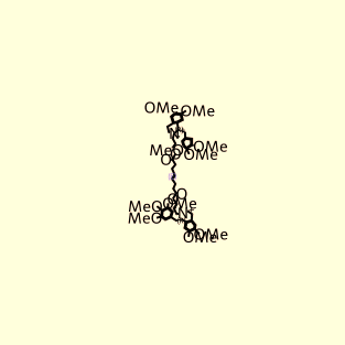 COc1cc2c(cc1OC)[C@@H](Cc1cc(OC)c(OC)c(OC)c1)[N+](C)(CCCOC(=O)CC/C=C/CCC(=O)OCCC[N+]1(C)CCc3cc(OC)c(OC)cc3[C@H]1Cc1cc(OC)c(OC)c(OC)c1)CC2